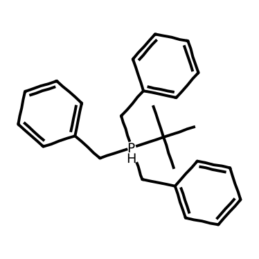 CC(C)(C)[PH](Cc1ccccc1)(Cc1ccccc1)Cc1ccccc1